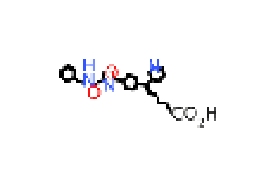 O=C(O)CCCCC=C(c1ccc(C2=NC(C(=O)NCc3ccccc3)CO2)cc1)c1cccnc1